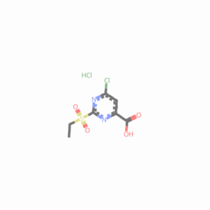 CCS(=O)(=O)c1nc(Cl)cc(C(=O)O)n1.Cl